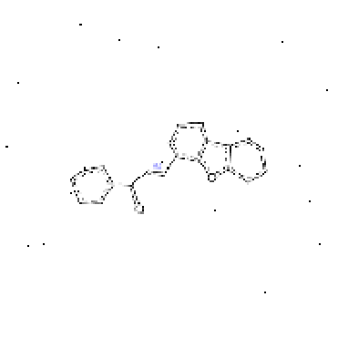 O=C(/C=C/c1cccc2c1oc1ccccc12)c1ccccc1